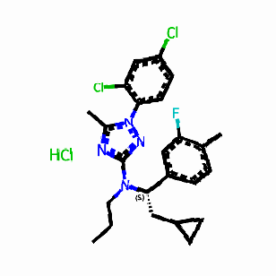 CCCN(c1nc(C)n(-c2ccc(Cl)cc2Cl)n1)[C@@H](CC1CC1)c1ccc(C)c(F)c1.Cl